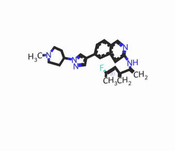 C=C(/C=C(\C)F)C(=C)Nc1cc2cc(-c3cnn(C4CCN(C)CC4)c3)ccc2cn1